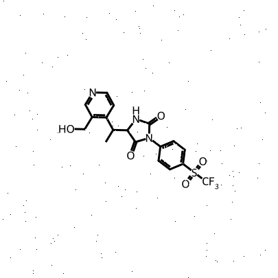 CC(c1ccncc1CO)C1NC(=O)N(c2ccc(S(=O)(=O)C(F)(F)F)cc2)C1=O